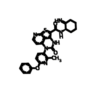 Cc1nc(Oc2ccccc2)ccc1N1C(=O)Nc2c(C(=O)N[C@@H]3CCCCC3=N)sc3nccc1c23